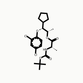 C[C@H](NC(=O)OC(C)(C)C)C(=O)O[C@@H](C)[C@H](Oc1ccc(Cl)cc1Cl)C1CCCC1